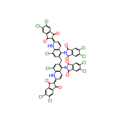 O=C1C(=C2C=Cc3c(c(Cl)cc(Cc4cc(Cl)c5c(c4N4C(=O)c6cc(Cl)c(Cl)cc6C4=O)C=CC(=C4C(=O)c6cc(Cl)c(Cl)cc6C4=O)N5)c3N3C(=O)c4cc(Cl)c(Cl)cc4C3=O)N2)C(=O)c2cc(Cl)c(Cl)cc21